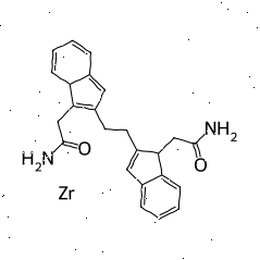 NC(=O)CC1=C(CCC2=Cc3ccccc3C2CC(N)=O)C=C2C=CC=CC21.[Zr]